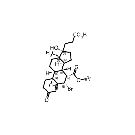 CC(C)OC(=O)[C@H]1[C@@H]2[C@H](CC[C@@]3(C)[C@H]2CC[C@]3(O)CCC(=O)O)[C@@]2(C)CCC(=O)C=C2[C@H]1Br